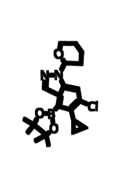 CC1(C)OB(c2c(C3CC3)c(Cl)cc3c2cnn3C2CCCCO2)OC1(C)C